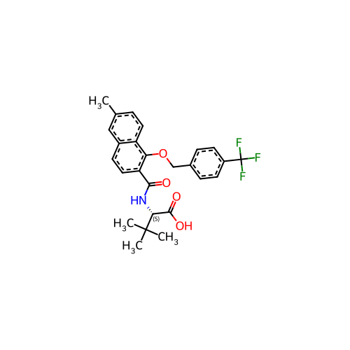 Cc1ccc2c(OCc3ccc(C(F)(F)F)cc3)c(C(=O)N[C@H](C(=O)O)C(C)(C)C)ccc2c1